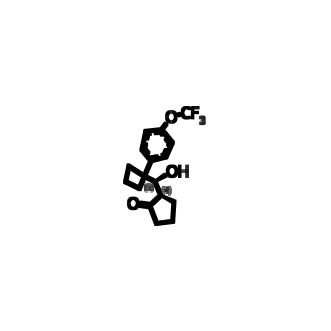 O=C1CCC[C@@H]1[C@H](O)C1(c2ccc(OC(F)(F)F)cc2)CCC1